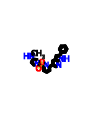 CNC1CCN(S(=O)(=O)c2cccc(-c3cnc4[nH]c(-c5ccccc5)cc4c3)n2)C1